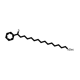 CCCCCCCCCCCCCCCCCCCCCCCCC([S])c1ccccc1